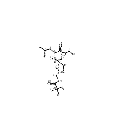 CCOC(=O)[C@H](CC(C)C)NP(=O)(CC)OCCSC(=O)C(C)(C)C